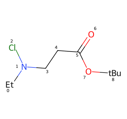 CCN(Cl)CCC(=O)OC(C)(C)C